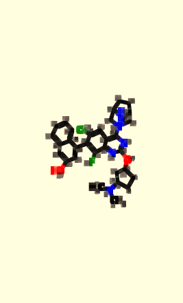 CN(C)[C@@H]1CC[C@H](Oc2nc(N3CC4CCC(C3)N4)c3cc(Cl)c(-c4cc(O)cc5ccccc45)c(F)c3n2)C1